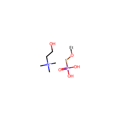 CCOSP(=O)(O)O.C[N+](C)(C)CCO